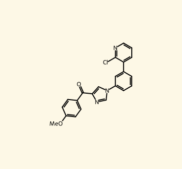 COc1ccc(C(=O)c2cn(-c3cccc(-c4cccnc4Cl)c3)cn2)cc1